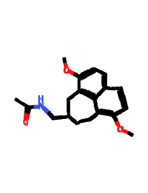 COc1ccc2ccc(OC)c3c2c1CCC(CNC(C)=O)C3